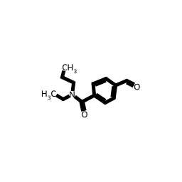 CCCN(CC)C(=O)c1ccc(C=O)cc1